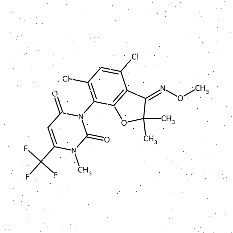 CON=C1c2c(Cl)cc(Cl)c(-n3c(=O)cc(C(F)(F)F)n(C)c3=O)c2OC1(C)C